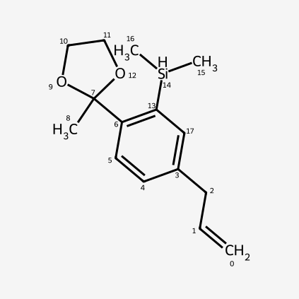 C=CCc1ccc(C2(C)OCCO2)c([SiH](C)C)c1